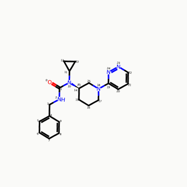 O=C(NCc1ccccc1)N(C1CC1)[C@@H]1CCCN(c2cccnn2)C1